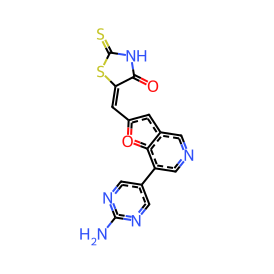 Nc1ncc(-c2cncc3cc(/C=C4/SC(=S)NC4=O)oc23)cn1